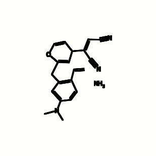 C=Cc1ccc(N(C)C)cc1CC1=CC(C(C#N)=CC#N)C=CO1.N